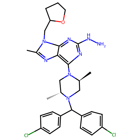 Cc1nc2c(N3C[C@@H](C)N(C(c4ccc(Cl)cc4)c4ccc(Cl)cc4)C[C@@H]3C)nc(NN)nc2n1CC1CCCO1